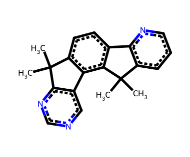 CC1(C)c2ccc3c(c2-c2cncnc21)C(C)(C)c1cccnc1-3